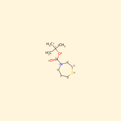 CC(C)(C)OC(=O)N1CCCSCC1